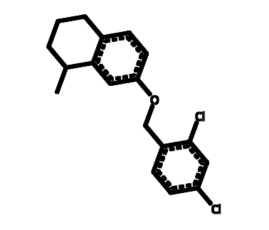 CC1CCCc2ccc(OCc3ccc(Cl)cc3Cl)cc21